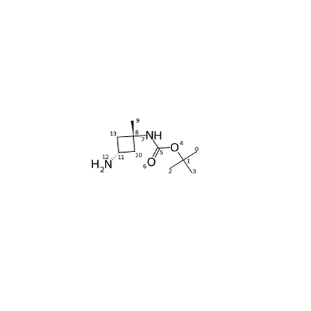 CC(C)(C)OC(=O)N[C@]1(C)C[C@H](N)C1